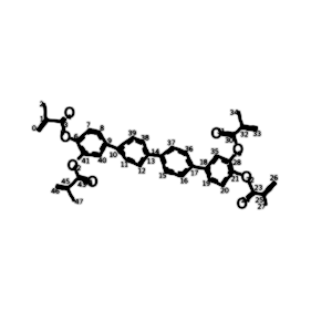 C=C(C)C(=O)Oc1ccc(-c2ccc(-c3ccc(-c4ccc(OC(=O)C(=C)C)c(OC(=O)C(=C)C)c4)cc3)cc2)cc1OC(=O)C(=C)C